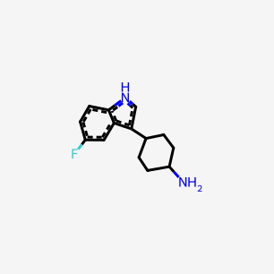 NC1CCC(c2c[nH]c3ccc(F)cc23)CC1